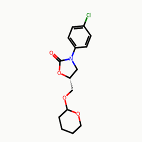 O=C1O[C@@H](COC2CCCCO2)CN1c1ccc(Cl)cc1